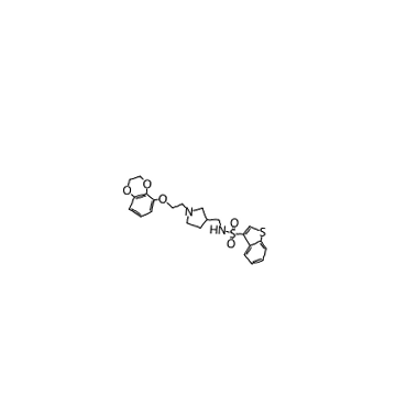 O=S(=O)(NCC1CCN(CCOc2cccc3c2OCCO3)C1)c1csc2ccccc12